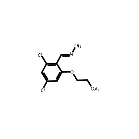 CC(=O)OCCOc1cc(Cl)cc(Cl)c1C=NO